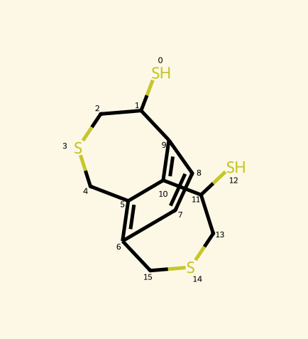 SC1CSCc2c3ccc1c2C(S)CSC3